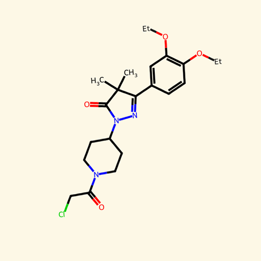 CCOc1ccc(C2=NN(C3CCN(C(=O)CCl)CC3)C(=O)C2(C)C)cc1OCC